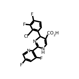 O=C(O)C1=CNC(c2ncc(F)cc2F)=NC1c1ccc(F)c(F)c1Cl